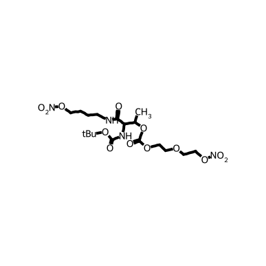 CC(OC(=O)OCCOCCO[N+](=O)[O-])C(NC(=O)OC(C)(C)C)C(=O)NCCCCO[N+](=O)[O-]